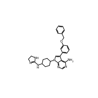 Nc1ncnc2c1c(-c1cccc(OCc3ccccc3)c1)cn2C1CCC(NC2=NCCN2)CC1